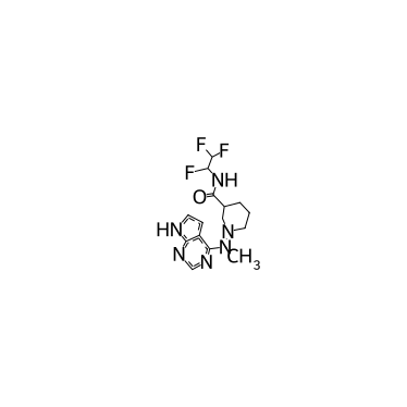 CN(c1ncnc2[nH]ccc12)N1CCCC(C(=O)NC(F)C(F)F)C1